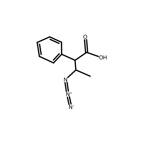 CC(N=[N+]=[N-])C(C(=O)O)c1ccccc1